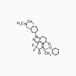 C[C@H](NC(=O)C(F)(F)F)[C@H](Oc1ccc2c(cnn2-c2cccc(CN(C)C)c2)c1)c1ccccc1